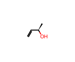 C=C[C@@H](C)O